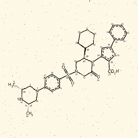 C[C@@H]1CN(c2ccc(S(=O)(=O)N3CC(=O)N(c4cc(-c5ccccc5)sc4C(=O)O)[C@H](C4CCCCC4)C3)cn2)C[C@H](C)N1